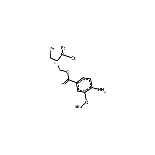 CCCCOc1cc(C(=O)OC[C@H](CC(C)C)N(CC)CC)ccc1N